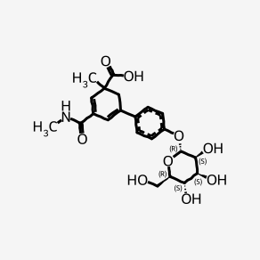 CNC(=O)C1=CC(C)(C(=O)O)CC(c2ccc(O[C@H]3O[C@H](CO)[C@@H](O)[C@H](O)[C@@H]3O)cc2)=C1